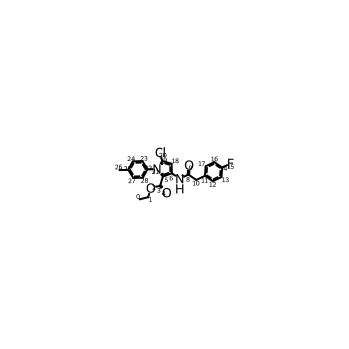 CCOC(=O)c1c(NC(=O)Cc2ccc(F)cc2)cc(Cl)n1-c1ccc(C)cc1